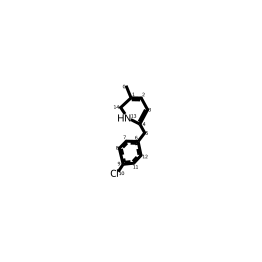 CC1=CC=C(Cc2ccc(Cl)cc2)NC1